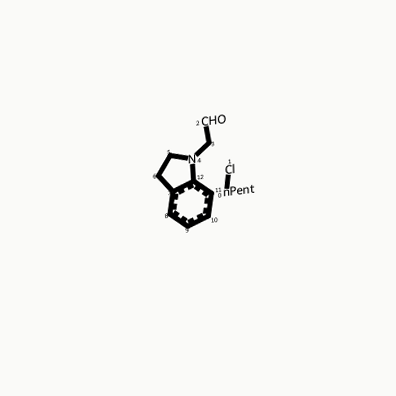 CCCCCCl.O=CCN1CCc2ccccc21